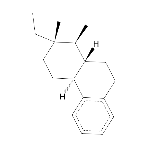 CC[C@@]1(C)CC[C@@H]2c3ccccc3CC[C@H]2[C@@H]1C